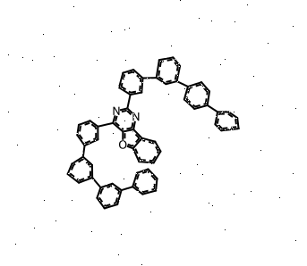 c1ccc(-c2ccc(-c3cccc(-c4cccc(-c5nc(-c6cccc(-c7cccc(-c8cccc(-c9ccccc9)c8)c7)c6)c6oc7ccccc7c6n5)c4)c3)cc2)cc1